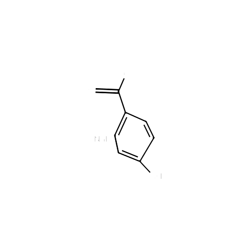 CC(=O)c1ccc(S)cc1.[NaH]